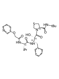 CC(C)[C@H](NC(=O)COc1cccnc1)C(=O)N[C@@H](Cc1ccccc1)[C@H](O)C(=O)N1CSC[C@H]1C(=O)NC(C)(C)C